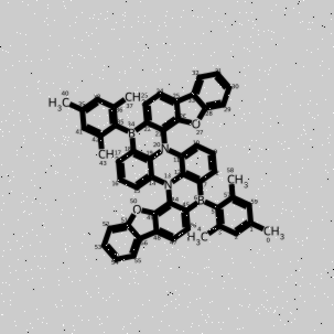 Cc1cc(C)c(B2c3cccc4c3N(c3cccc5c3N4c3c(ccc4c3oc3ccccc34)B5c3c(C)cc(C)cc3C)c3c2ccc2c3oc3ccccc32)c(C)c1